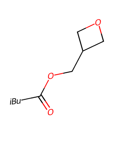 CCC(C)C(=O)OCC1COC1